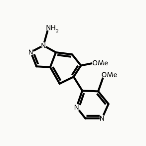 COc1cc2c(cnn2N)cc1-c1ncncc1OC